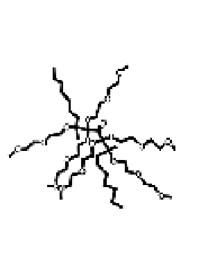 CCCCCCCC(C)(OCCOCCOC)C(OCCOCCOC)(OCCOCCOC)C(=O)C(OCCOCCOC)(OCCOCCOC)C(C)(CCCCCCC)OCCOCCOC